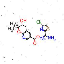 CC1(C)Oc2ncc(C(=O)O/N=C(/N)c3nc(Cl)cs3)cc2CC1O